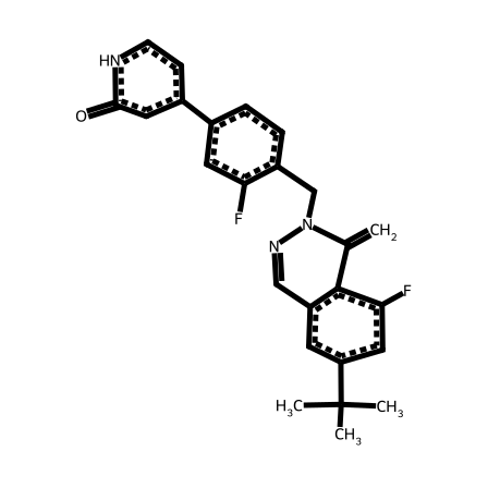 C=C1c2c(F)cc(C(C)(C)C)cc2C=NN1Cc1ccc(-c2cc[nH]c(=O)c2)cc1F